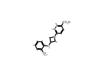 O=C(O)c1ccc(N2CC(Oc3ccccc3C(F)(F)F)C2)nn1